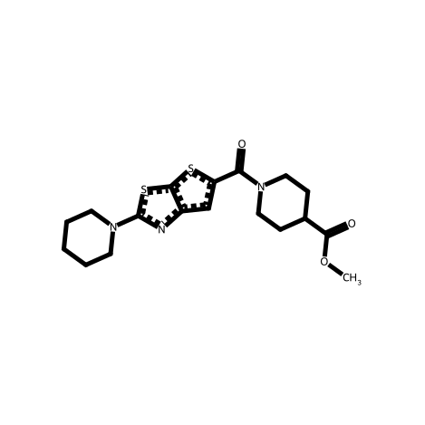 COC(=O)C1CCN(C(=O)c2cc3nc(N4CCCCC4)sc3s2)CC1